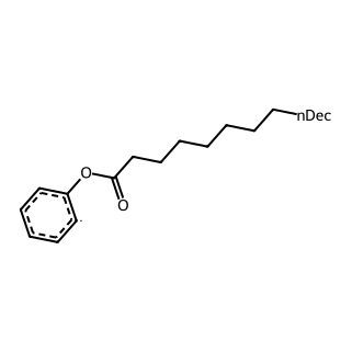 CCCCCCCCCCCCCCCCCC(=O)Oc1[c]cccc1